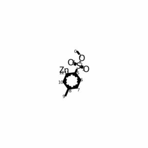 COS(=O)(=O)c1ccc(C)cc1.[Zn]